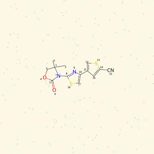 CC1(C)COC(=O)N1c1nc(-c2csc(C#N)c2)cs1